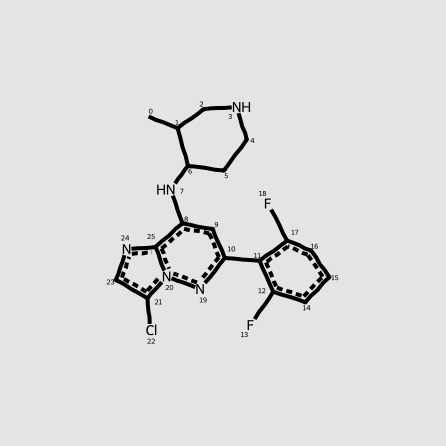 CC1CNCCC1Nc1cc(-c2c(F)cccc2F)nn2c(Cl)cnc12